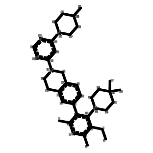 CCc1c(C)nc(C)c(-c2ccc3c(c2)CCN(c2cc(N4CCC(C)CC4)ncn2)C3)c1N1CCC(C)(C)CC1